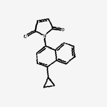 O=C1C=CC(=O)N1c1ccc(C2CC2)c2ccccc12